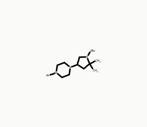 CC(C)N1CCN(C2CN(C(C)(C)C)C(C)(C)C2)CC1